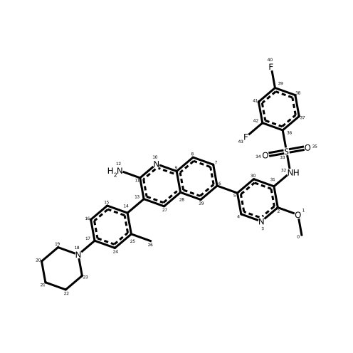 COc1ncc(-c2ccc3nc(N)c(-c4ccc(N5CCCCC5)cc4C)cc3c2)cc1NS(=O)(=O)c1ccc(F)cc1F